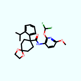 COc1ccc(NC(=O)C2(c3ccccc3C(C)C)CCC3(CC2)OCCO3)c(OC(F)F)n1